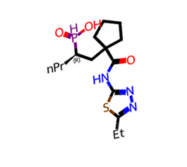 CCC[C@H](CC1(C(=O)Nc2nnc(CC)s2)CCCC1)[PH](=O)O